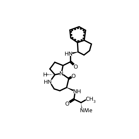 CN[C@@H](C)C(=O)N[C@H]1CCN[C@H]2CCC(C(=O)N[C@@H]3CCCc4ccccc43)N2C1=O